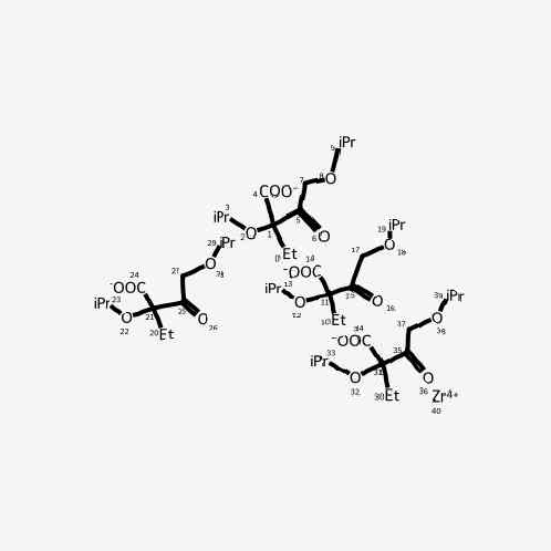 CCC(OC(C)C)(C(=O)[O-])C(=O)COC(C)C.CCC(OC(C)C)(C(=O)[O-])C(=O)COC(C)C.CCC(OC(C)C)(C(=O)[O-])C(=O)COC(C)C.CCC(OC(C)C)(C(=O)[O-])C(=O)COC(C)C.[Zr+4]